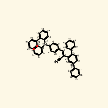 N#CC(=Cc1ccc(N(c2ccccc2)c2ccccc2-c2ccccc2)cc1)c1cc(-c2ccccc2)ccc1-c1ccccc1